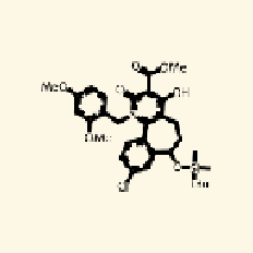 COC(=O)c1c(O)c2c(n(Cc3ccc(OC)cc3OC)c1=O)-c1ccc(Cl)cc1C(O[Si](C)(C)C(C)(C)C)CC2